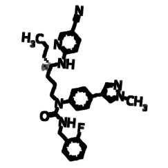 CCC[C@@H](CCCN(C(=O)NCc1ccccc1F)c1ccc(-c2cnn(C)c2)cc1)Nc1ccc(C#N)cn1